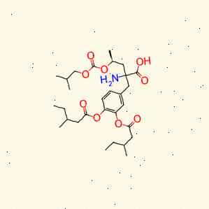 CCC(C)CC(=O)Oc1ccc(CC(N)(C[C@H](C)OC(=O)OCC(C)C)C(=O)O)cc1OC(=O)CC(C)CC